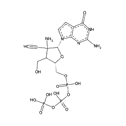 C#CC1(N)C(CO)[C@@H](COP(=O)(O)OP(=O)(O)OP(=O)(O)O)O[C@H]1n1ccc2c(=O)[nH]c(N)nc21